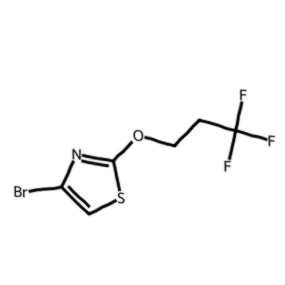 FC(F)(F)CCOc1nc(Br)cs1